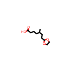 CC(CCCC(=O)O)CCC1OCCO1